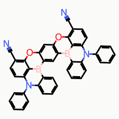 N#Cc1ccc2c3c1Oc1cc4c(cc1B3c1ccccc1N2c1ccccc1)B1c2ccccc2N(c2ccccc2)c2ccc(C#N)c(c21)O4